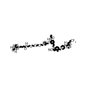 C=CC(=O)Nc1ccc(CCn2c(C#N)cc3c(C)c(CN4CCC(Nc5ncnc6sc(CC(F)(F)F)cc56)CC4)ccc32)cc1OCc1cn(CCOCCOCCOCCNC(=O)CCCC[C@H]2SC[C@H]3NC(=O)N[C@H]32)nn1